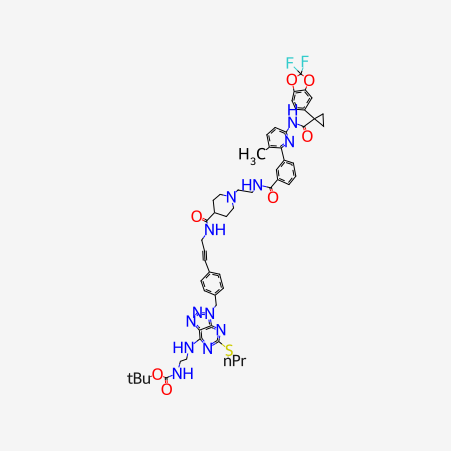 CCCSc1nc(NCCNC(=O)OC(C)(C)C)c2nnn(Cc3ccc(C#CCNC(=O)C4CCN(CCNC(=O)c5cccc(-c6nc(NC(=O)C7(c8ccc9c(c8)OC(F)(F)O9)CC7)ccc6C)c5)CC4)cc3)c2n1